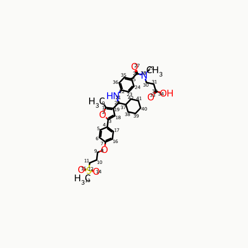 Cc1oc(-c2ccc(OCCCS(C)(=O)=O)cc2)cc1C(Nc1ccc(C(=O)N(C)CCC(=O)O)cc1)C1CCCCC1